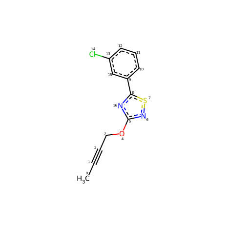 CC#CCOc1nsc(-c2cccc(Cl)c2)n1